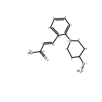 COC1CCN(c2ccccc2/C=C/C(=O)O)CC1